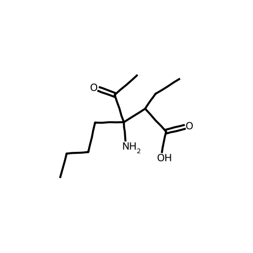 CCCCC(N)(C(C)=O)C(CC)C(=O)O